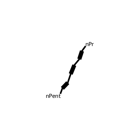 CCCC#CC#CC#CCCCCC